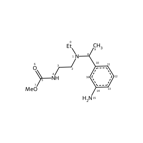 CCN(CCNC(=O)OC)C(C)c1cccc(N)c1